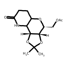 CC(=O)OC[C@H]1OC2CCC(=O)NC2[C@H]2OC(C)(C)O[C@H]21